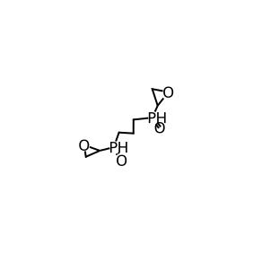 O=[PH](CCC[PH](=O)C1CO1)C1CO1